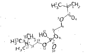 C=C(C)C(=O)OCCOP(=O)(O)OCC[N+](C)(C)[13CH3]